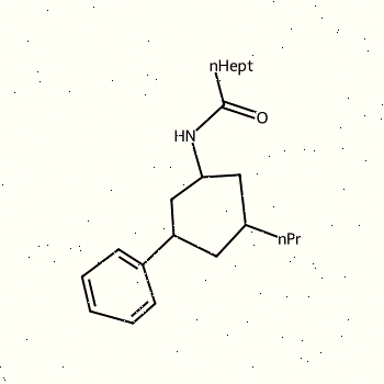 CCCCCCCC(=O)NC1CC(CCC)CC(c2ccccc2)C1